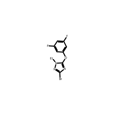 CCn1nc(Br)nc1Oc1cc(F)cc(F)c1